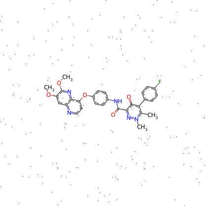 COc1cc2nccc(Oc3ccc(NC(=O)c4nn(C)c(C)c(-c5ccc(F)cc5)c4=O)cc3)c2nc1OC